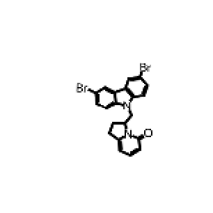 O=c1cccc2n1C(Cn1c3ccc(Br)cc3c3cc(Br)ccc31)CC2